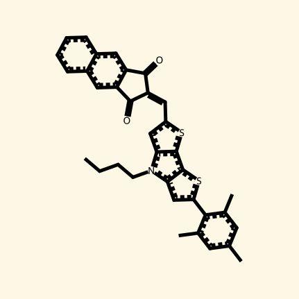 CCCCn1c2cc(C=C3C(=O)c4cc5ccccc5cc4C3=O)sc2c2sc(-c3c(C)cc(C)cc3C)cc21